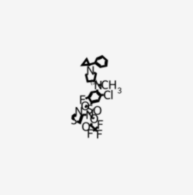 CN(c1cc(F)c(S(=O)(=O)N(OC(=O)C(F)(F)F)c2cscn2)cc1Cl)[C@H]1CCN(C2(c3ccccc3)CC2)C1